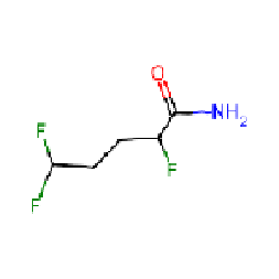 NC(=O)C(F)CCC(F)F